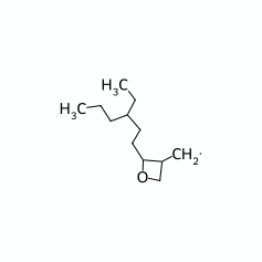 [CH2]C1COC1CCC(CC)CCC